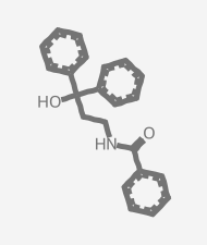 O=C(NCCC(O)(c1ccccc1)c1ccccc1)c1ccccc1